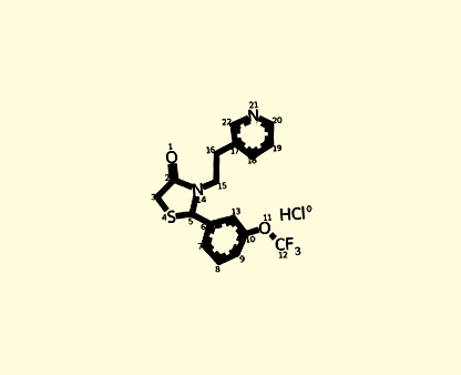 Cl.O=C1CSC(c2cccc(OC(F)(F)F)c2)N1CCc1cccnc1